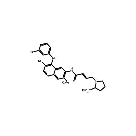 CCOC(=O)C1CCCN1CC=CC(=O)Nc1cc2c(Nc3cccc(Br)c3)c(C#N)cnc2cc1OC